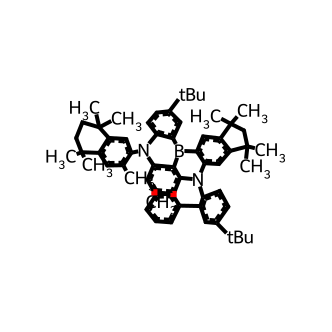 Cc1cc2c3c(c1)N(c1ccc(C(C)(C)C)cc1-c1ccccc1)c1cc4c(cc1B3c1cc(C(C)(C)C)ccc1N2c1cc2c(cc1C)C(C)(C)CCC2(C)C)C(C)(C)CC4(C)C